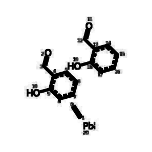 C=C.O=Cc1ccccc1O.O=Cc1ccccc1O.[Pb]